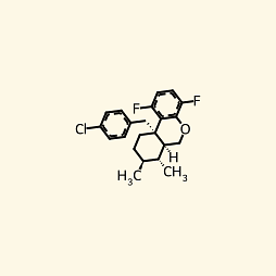 C[C@@H]1[C@@H](C)CC[C@@]2(Cc3ccc(Cl)cc3)c3c(F)ccc(F)c3OC[C@@H]12